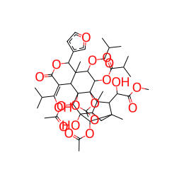 COC(=O)C(O)C1C2(C)CC34OC5(C)OC6(C7C(=C(O)C(C)C)C(=O)OC(c8ccoc8)C7(C)C(OC(=O)C(C)C)C(OC(=O)C(C)C)C6(O5)C13C)C(OC(C)=O)C4(O)C2OC(C)=O